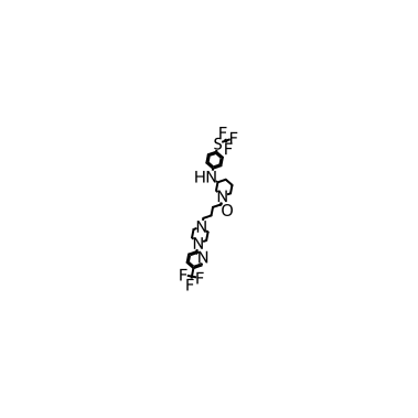 O=C(CCCN1CCN(c2ccc(C(F)(F)F)cn2)CC1)N1CCC[C@H](Nc2ccc(SC(F)(F)F)cc2)C1